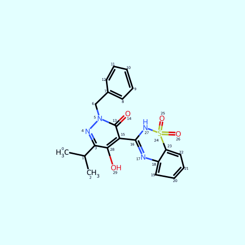 CC(C)c1nn(Cc2ccccc2)c(=O)c(C2=Nc3ccccc3S(=O)(=O)N2)c1O